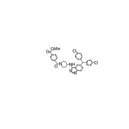 COC(=O)c1ccc(C(=O)N2CCC(Nc3ncnc4ccc(C(c5ccc(Cl)cc5)c5ccc(Cl)cc5)cc34)CC2)cc1